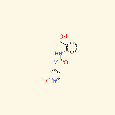 COc1cc(NC(=O)Nc2ccccc2CO)ccn1